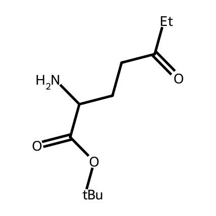 CCC(=O)CCC(N)C(=O)OC(C)(C)C